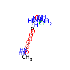 CCCNC(=O)NCCOCCOCCOCCOCCOc1ccc(CCCCNC(=N)NC(=O)c2nc(Cl)c(N)nc2N)cc1